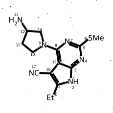 CCc1[nH]c2nc(SC)nc(N3CCC(N)C3)c2c1C#N